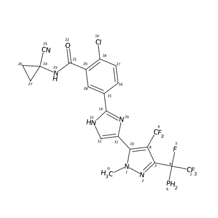 Cn1nc(C(F)(P)C(F)(F)F)c(C(F)(F)F)c1-c1c[nH]c(-c2ccc(Cl)c(C(=O)NC3(C#N)CC3)c2)n1